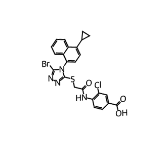 O=C(CSc1nnc(Br)n1-c1ccc(C2CC2)c2ccccc12)Nc1ccc(C(=O)O)cc1Cl